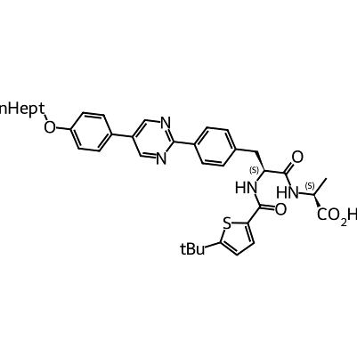 CCCCCCCOc1ccc(-c2cnc(-c3ccc(C[C@H](NC(=O)c4ccc(C(C)(C)C)s4)C(=O)N[C@@H](C)C(=O)O)cc3)nc2)cc1